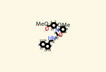 COC(=O)c1ccc(OC)c(N2C[C@@H](CNCCc3cccc4ccccc34)Oc3ccccc32)c1